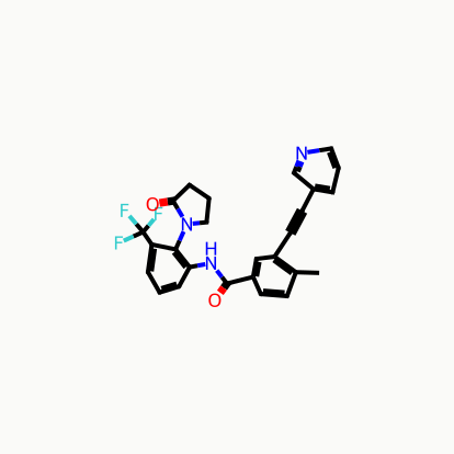 Cc1ccc(C(=O)Nc2cccc(C(F)(F)F)c2N2CCCC2=O)cc1C#Cc1cccnc1